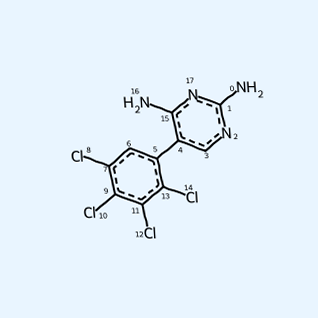 Nc1ncc(-c2cc(Cl)c(Cl)c(Cl)c2Cl)c(N)n1